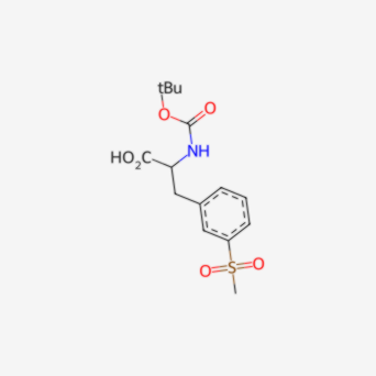 CC(C)(C)OC(=O)NC(Cc1cccc(S(C)(=O)=O)c1)C(=O)O